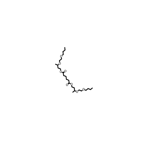 CCCCOCCOC(C)CCOC(=O)CCCCC(=O)OCCC(C)OCCOCCCC